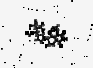 COC1=c2c(c(=O)[nH]c(=O)n2C2CC2)=CC(F)C1N1CCC(C(N)C(C(F)F)C(F)F)C1